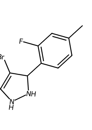 Cc1ccc(C2NNC=C2Br)c(F)c1